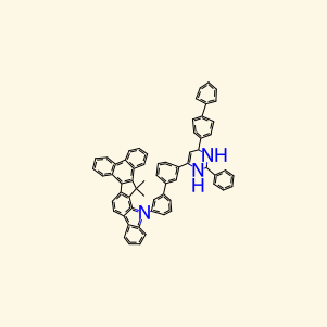 CC1(C)c2c(c3ccccc3c3ccccc23)-c2ccc3c4ccccc4n(-c4cccc(-c5cccc(C6=CC(c7ccc(-c8ccccc8)cc7)NC(c7ccccc7)N6)c5)c4)c3c21